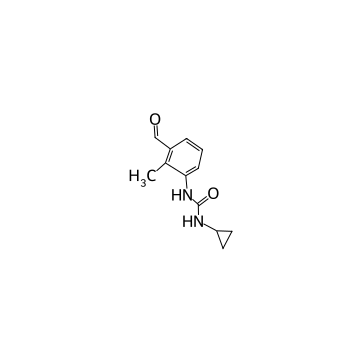 Cc1c(C=O)cccc1NC(=O)NC1CC1